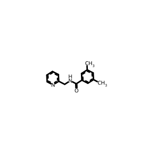 Cc1cc(C)cc(C(=O)NCc2ccccn2)c1